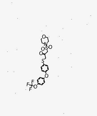 O=C(CSc1ccc(Oc2ccc(OC(F)(F)F)cc2)cc1)CS(=O)(=O)N1CCOCC1